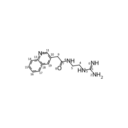 N=C(N)NCCNC(=O)Cc1cnc2ccccc2c1